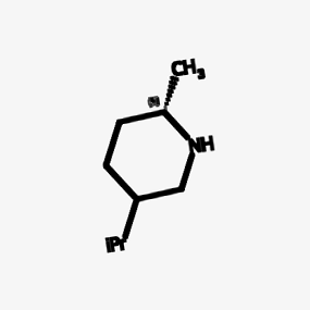 CC(C)C1CC[C@H](C)NC1